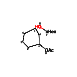 CC(=O)OC1CCCCC1.CCCCCCO